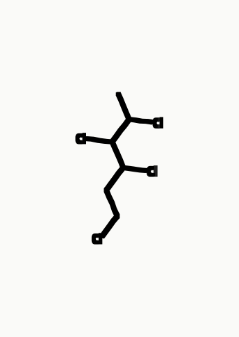 CC(Cl)C(Cl)C(Cl)CCCl